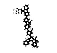 CCCCCCCCC1(CCCCCCCC)c2ccccc2-c2ccc(-c3ccc4c(c3)C(C)(C)c3cc(-c5ccc(-c6cc7c(c8c6oc6ccccc68)-c6ccc(Cl)cc6C7(C)C)cc5C)ccc3-4)cc21